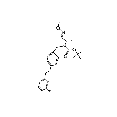 CO/N=C/C(C)N(Cc1ccc(OCc2cccc(F)c2)cc1)C(=O)OC(C)(C)C